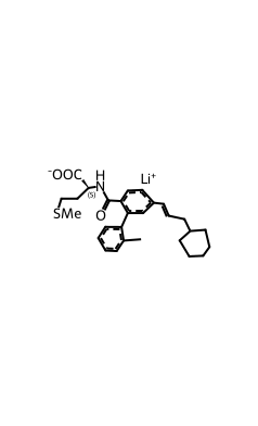 CSCC[C@H](NC(=O)c1ccc(C=CCC2CCCCC2)cc1-c1ccccc1C)C(=O)[O-].[Li+]